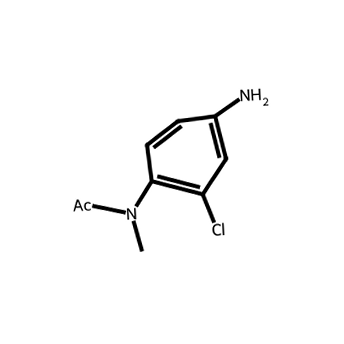 CC(=O)N(C)c1ccc(N)cc1Cl